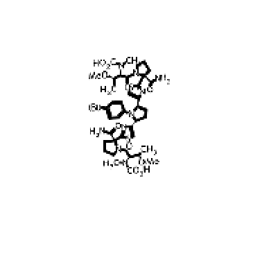 CO[C@H](C)[C@@H](C(=O)N1CCC[C@]1(C(N)=O)c1nc([C@H]2CC[C@H](c3csc([C@@]4(C(N)=O)CCCN4C(=O)[C@H]([C@@H](C)OC)N(C)C(=O)O)n3)N2c2ccc(C(C)(C)C)cc2)cs1)N(C)C(=O)O